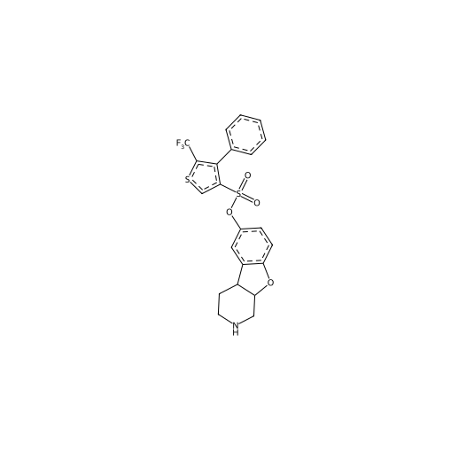 O=S(=O)(Oc1ccc2c(c1)C1CCNCC1O2)c1csc(C(F)(F)F)c1-c1ccccc1